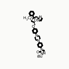 CCC(C)n1ncn(-c2ccc(N3CCN(c4ccc(OC[C@H]5COC(Cn6nccn6)(c6ccccc6C)O5)cc4)CC3)cc2)c1=O